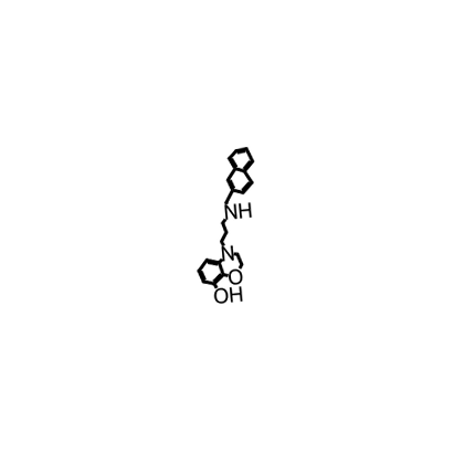 Oc1cccc2c1OCCN2CCCNCc1ccc2ccccc2c1